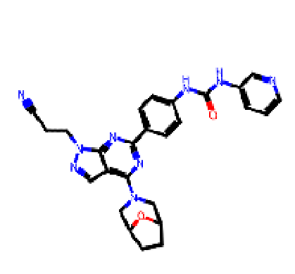 N#CCCn1ncc2c(N3CC4CCC(C3)O4)nc(-c3ccc(NC(=O)Nc4cccnc4)cc3)nc21